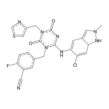 CN1C=C2C=C(Nc3nc(=O)n(Cc4cscn4)c(=O)n3Cc3ccc(F)c(C#N)c3)C(Cl)=CC2N1